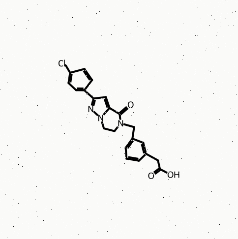 O=C(O)Cc1cccc(CN2CCn3nc(-c4ccc(Cl)cc4)cc3C2=O)c1